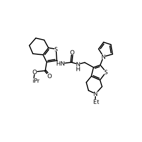 CCN1CCc2c(sc(-n3cccc3)c2CNC(=O)Nc2sc3c(c2C(=O)OC(C)C)CCCC3)C1